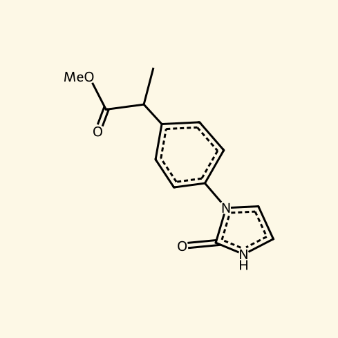 COC(=O)C(C)c1ccc(-n2cc[nH]c2=O)cc1